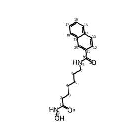 O=C(CCCCCCNC(=O)c1ccc2ccccc2c1)NO